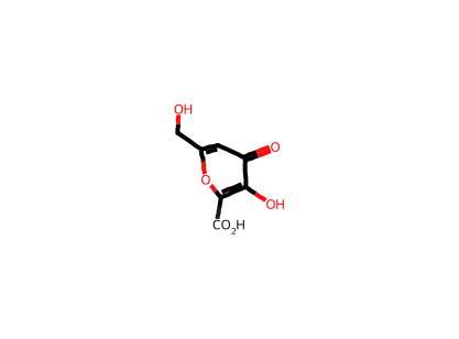 O=C(O)c1oc(CO)cc(=O)c1O